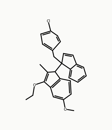 CCOC1=C(C)C(C2(Cc3ccc(Cl)cc3)C=Cc3ccccc32)c2ccc(OC)cc21